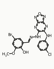 COc1cc(Br)cc(/C=N/Nc2nc3nonc3nc2Nc2cccc(Cl)c2)c1O